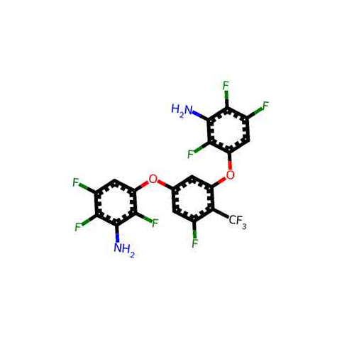 Nc1c(F)c(F)cc(Oc2cc(F)c(C(F)(F)F)c(Oc3cc(F)c(F)c(N)c3F)c2)c1F